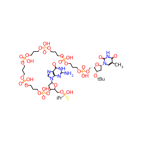 Cc1cn([C@@H]2C[C@H](OC(C)(C)C)[C@H](COP(=O)(O)OCCCOP(=O)(O)OCCCOP(=O)(O)OCCCOP(=O)(O)OCCCOP(=O)(O)OCCCOP(=O)(O)OC3CC(n4cnc5c(=O)[nH]c(N)nc54)OC3COP(O)(=S)C(C)C)O2)c(=O)[nH]c1=O